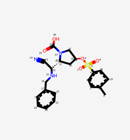 Cc1ccc(S(=O)(=O)O[C@H]2C[C@H](C(C#N)NCc3ccccc3)N(C(=O)O)C2)cc1